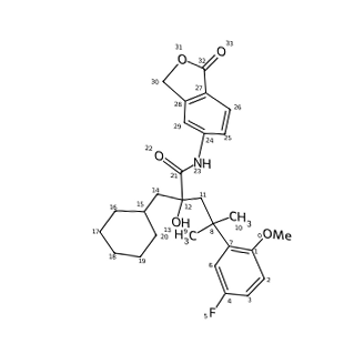 COc1ccc(F)cc1C(C)(C)CC(O)(CC1CCCCC1)C(=O)Nc1ccc2c(c1)COC2=O